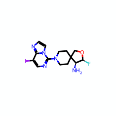 N[C@@H]1[C@H](F)OCC12CCN(c1ncc(I)c3nccn13)CC2